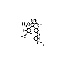 C#Cc1c(F)cc(-c2c3c4c(ncnc4n2C)NCc2cc(Oc4cccc(C)n4)ccc2-3)cc1F